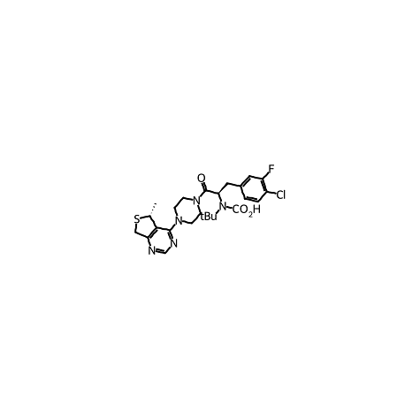 C[C@H]1SCc2ncnc(N3CCN(C(=O)[C@@H](Cc4ccc(Cl)c(F)c4)N(C(=O)O)C(C)(C)C)CC3)c21